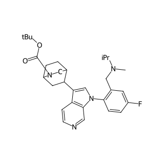 CC(C)N(C)Cc1cc(F)ccc1-n1cc(C2CC3CCC2CN3C(=O)OC(C)(C)C)c2ccncc21